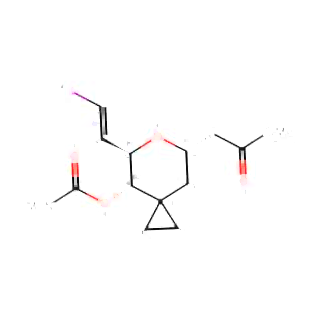 CNC(=O)O[C@@H]1[C@@H](/C=C/I)O[C@H](CC(=O)OC)CC12CC2